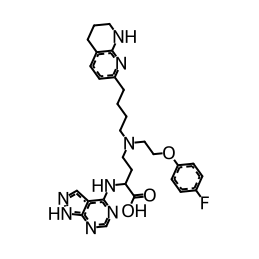 O=C(O)C(CCN(CCCCc1ccc2c(n1)NCCC2)CCOc1ccc(F)cc1)Nc1ncnc2[nH]ncc12